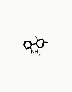 CC1=CCC(c2ccccc2N)[C@@H](C)C1